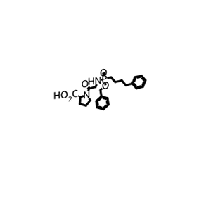 O=C(O)[C@@H]1CCCN1C(=O)CNP(=O)(CCCCc1ccccc1)OCc1ccccc1